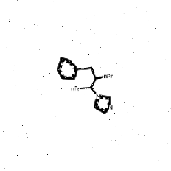 CCCC(Cc1ccccc1)C(CCC)n1ccnc1